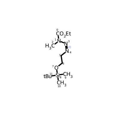 CCOC(=O)N(C)/N=N\CCO[Si](C)(C)C(C)(C)C